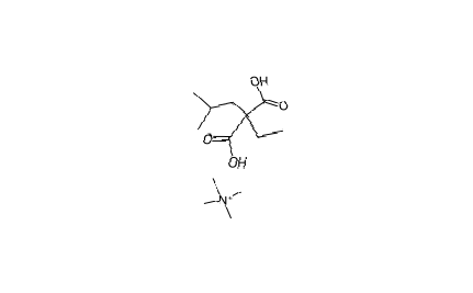 CCC(CC(C)C)(C(=O)O)C(=O)O.C[N+](C)(C)C